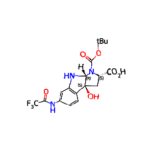 CC(C)(C)OC(=O)N1[C@H]2Nc3cc(NC(=O)C(F)(F)F)ccc3[C@@]2(O)C[C@H]1C(=O)O